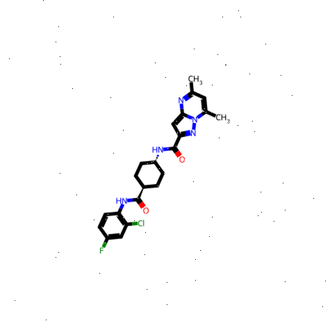 Cc1cc(C)n2nc(C(=O)N[C@H]3CC[C@H](C(=O)Nc4ccc(F)cc4Cl)CC3)cc2n1